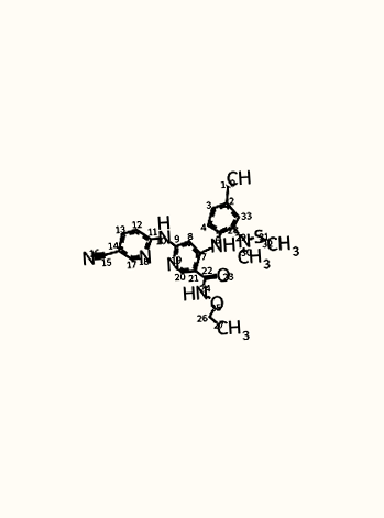 C#Cc1ccc(Nc2cc(Nc3ccc(C#N)cn3)ncc2C(=O)NOCC)c(N(C)SC)c1